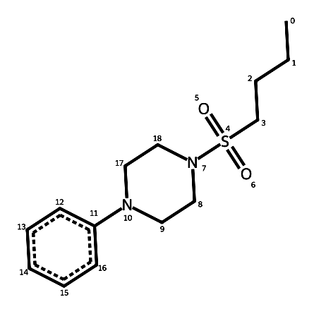 CCCCS(=O)(=O)N1CCN(c2ccccc2)CC1